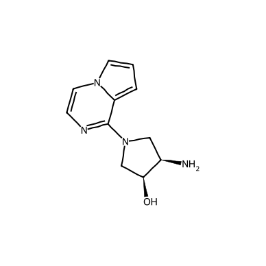 N[C@@H]1CN(c2nccn3cccc23)C[C@@H]1O